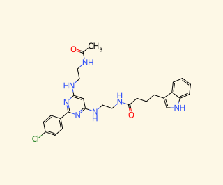 CC(=O)NCCNc1cc(NCCNC(=O)CCCc2c[nH]c3ccccc23)nc(-c2ccc(Cl)cc2)n1